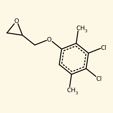 Cc1cc(OCC2CO2)c(C)c(Cl)c1Cl